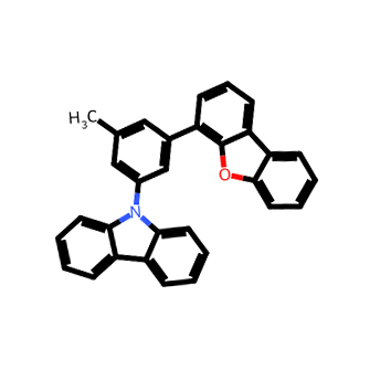 Cc1cc(-c2cccc3c2oc2ccccc23)cc(-n2c3ccccc3c3ccccc32)c1